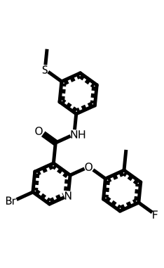 CSc1cccc(NC(=O)c2cc(Br)cnc2Oc2ccc(F)cc2C)c1